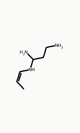 C/C=C\NC(N)CCN